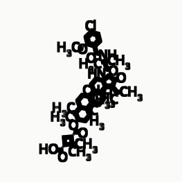 COc1cc(Cl)ccc1C(=O)NC(C)(C)C(=O)N[C@@]12CC[C@]3(C)[C@H](CCC4[C@@]5(C)CC[C@H](OC(=O)[C@H]6C[C@@H](C(=O)O)C6(C)C)C(C)(C)C5CC[C@]43C)C1=C(C(C)C)C(=O)C2